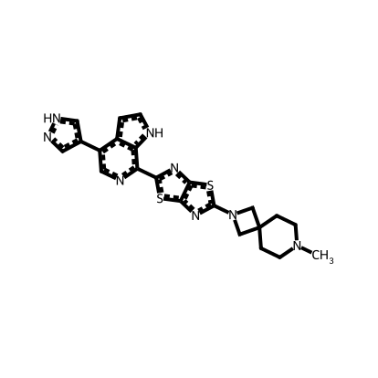 CN1CCC2(CC1)CN(c1nc3sc(-c4ncc(-c5cn[nH]c5)c5cc[nH]c45)nc3s1)C2